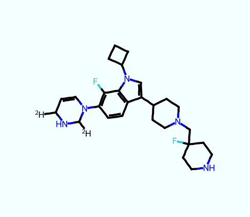 [2H]C1C=CN(c2ccc3c(C4CCN(CC5(F)CCNCC5)CC4)cn(C4CCC4)c3c2F)C([2H])N1